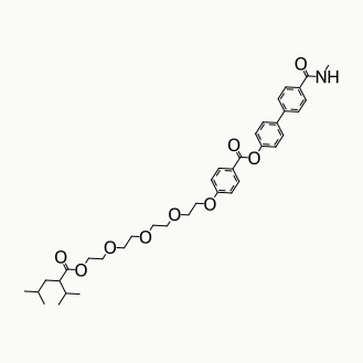 CNC(=O)c1ccc(-c2ccc(OC(=O)c3ccc(OCCOCCOCCOCCOC(=O)C(CC(C)C)C(C)C)cc3)cc2)cc1